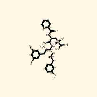 CCCC(CCC)S(=O)(=O)CC(NC(=O)c1ccccn1)C(=O)O[C@H](CNCc1cccc(CC)c1)[C@@H](N)Cc1cc(F)cc(F)c1